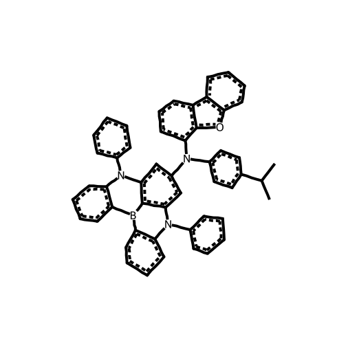 CC(C)c1ccc(N(c2cc3c4c(c2)N(c2ccccc2)c2ccccc2B4c2ccccc2N3c2ccccc2)c2cccc3c2oc2ccccc23)cc1